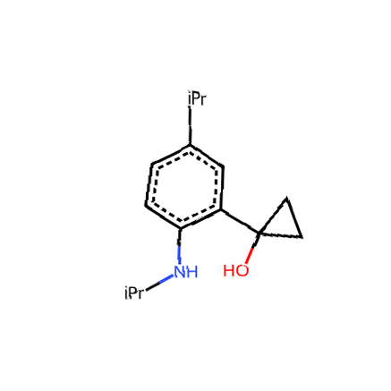 CC(C)Nc1ccc(C(C)C)cc1C1(O)CC1